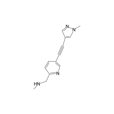 CNCc1ccc(C#Cc2cnn(C)c2)cn1